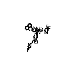 Cc1cccc2cccc(N3CCc4c(nc(OC[C@@H]5CC(F)(F)CN5C)nc4N4CCN(C(=O)/C=C/CN5CC(F)C5)CC4)C3)c12